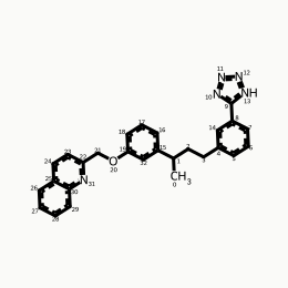 CC(CCc1cccc(-c2nnn[nH]2)c1)c1cccc(OCc2ccc3ccccc3n2)c1